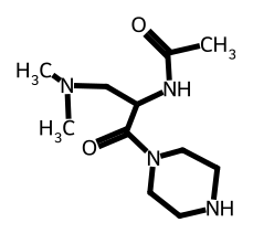 CC(=O)NC(CN(C)C)C(=O)N1CCNCC1